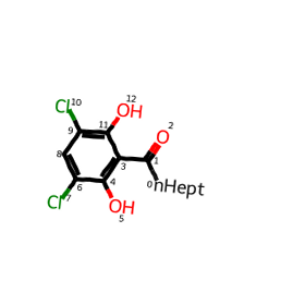 CCCCCCCC(=O)c1c(O)c(Cl)cc(Cl)c1O